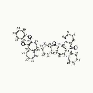 O=P(c1ccccc1)(c1ccccc1)c1ccc2c(c1)oc1cc(-c3cc4c(c5ccccc35)Oc3ccccc3O4)ccc12